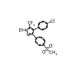 CCn1nc(-c2ccc(S(C)(=O)=O)cc2)c(-c2ccc(Cl)cc2)c1C(F)(F)F